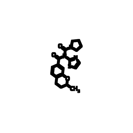 CC1CCc2ccc(C(=O)N(C(=O)N3CCCC3)c3nccs3)cc2O1